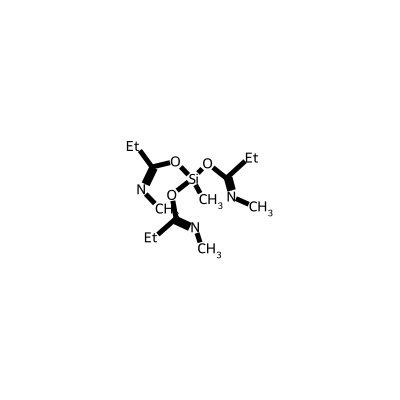 CCC(=NC)O[Si](C)(OC(CC)=NC)OC(CC)=NC